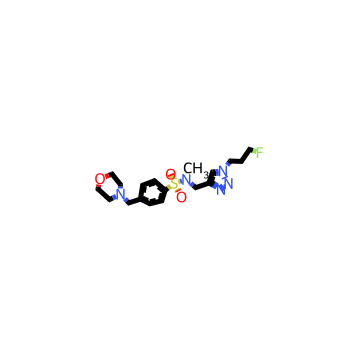 CN(Cc1cn(CCCF)nn1)S(=O)(=O)c1ccc(CN2CCOCC2)cc1